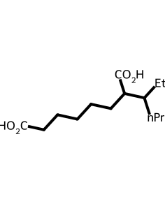 CCCC(CC)C(CCCCCC(=O)O)C(=O)O